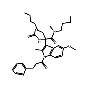 CCCCCCC(NC(C)=O)(C(=O)N(C)CCCC)c1c(C)n(C(=O)CCc2ccccc2)c2ccc(OC)cc12